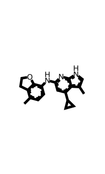 Cc1ccc(Nc2cc(C3CC3)c3c(C)c[nH]c3n2)c2c1CCO2